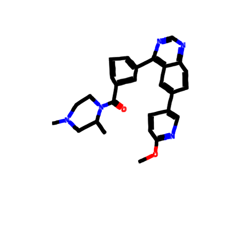 COc1ccc(-c2ccc3ncnc(-c4cccc(C(=O)N5CCN(C)CC5C)c4)c3c2)cn1